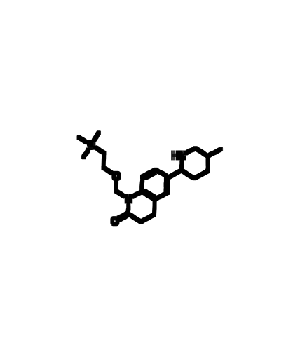 CC1CCC(c2ccc3c(c2)CCC(=O)N3COCC[Si](C)(C)C)NC1